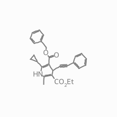 CCOC(=O)C1=C(C)NC(C2CC2)=C(C(=O)OCc2ccccc2)C1C#Cc1ccccc1